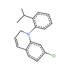 CC(C)c1ccccc1N1CC=Cc2ccc(Cl)cc21